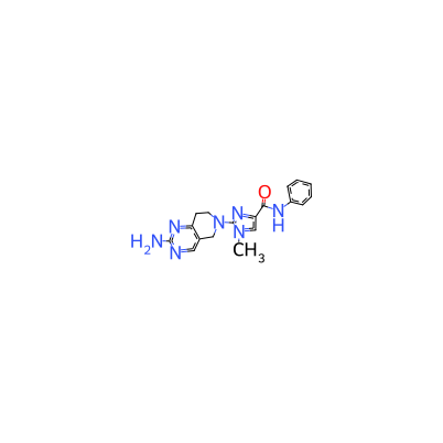 Cn1cc(C(=O)Nc2ccccc2)nc1N1CCc2nc(N)ncc2C1